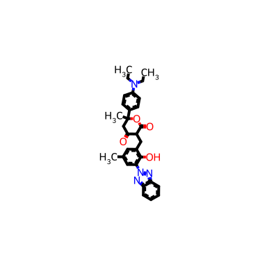 CCN(CC)c1ccc(C2(C)CC(=O)C(Cc3cc(C)cc(-n4nc5ccccc5n4)c3O)C(=O)O2)cc1